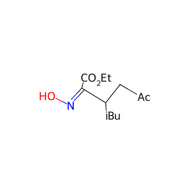 CCOC(=O)/C(=N\O)C(CC(C)=O)C(C)CC